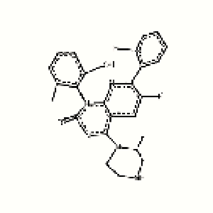 Cc1cccc(O)c1-n1c(=O)nc(N2CCNC[C@@H]2C)c2cc(F)c(-c3ccccc3F)nc21